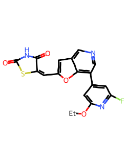 CCOc1cc(-c2cncc3cc(/C=C4/SC(=O)NC4=O)oc23)cc(F)n1